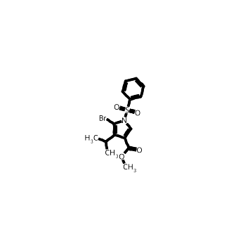 COC(=O)c1cn(S(=O)(=O)c2ccccc2)c(Br)c1C(C)C